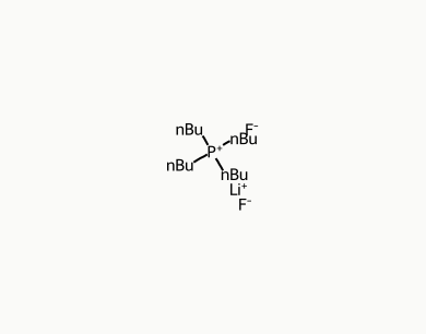 CCCC[P+](CCCC)(CCCC)CCCC.[F-].[F-].[Li+]